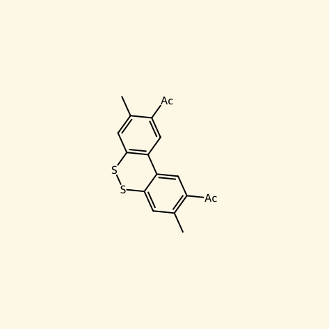 CC(=O)c1cc2c(cc1C)SSc1cc(C)c(C(C)=O)cc1-2